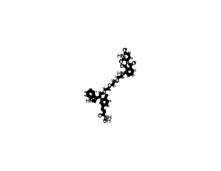 O=C(/C=C/c1ccc(CN(CCOCCOCCNc2cccc3c2C(=O)N(C2CCC(=O)NC2=O)C3=O)CCc2c[nH]c3ccccc23)cc1)NO